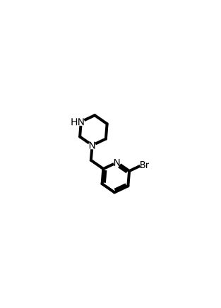 Brc1cccc(CN2CCCNC2)n1